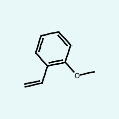 C=Cc1ccc[c]c1OC